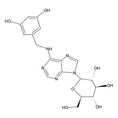 OC[C@H]1OC(n2cnc3c(NCc4cc(O)cc(O)c4)ncnc32)[C@H](O)[C@@H](O)[C@@H]1O